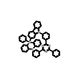 c1ccc(-c2nc(-c3ccccc3)nc(-c3cccc(-n4c5ccccc5c5ccc([Si]6(c7ccccc7)c7ccccc7Sc7ccccc76)cc54)c3)n2)cc1